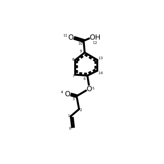 C=CCC(=O)Oc1ccc(C(=O)O)cc1